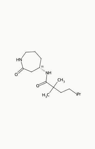 CC(C)CCC(C)(C)C(=O)N[C@H]1CCCNC(=O)C1